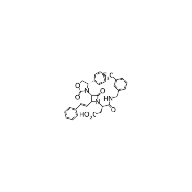 O=C(O)C[C@H](C(=O)NCc1cccc(C(F)(F)F)c1)N1C(=O)C(N2C(=O)OC[C@@H]2c2ccccc2)C1C=Cc1ccccc1